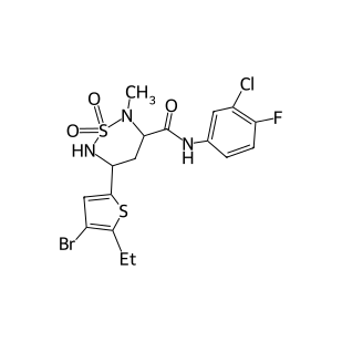 CCc1sc(C2CC(C(=O)Nc3ccc(F)c(Cl)c3)N(C)S(=O)(=O)N2)cc1Br